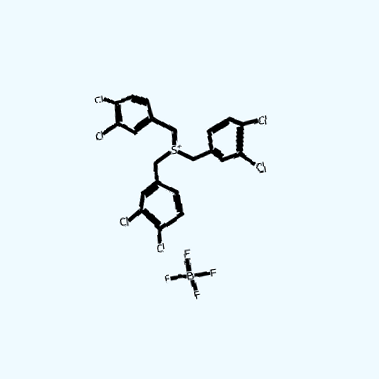 Clc1ccc(C[S+](Cc2ccc(Cl)c(Cl)c2)Cc2ccc(Cl)c(Cl)c2)cc1Cl.F[B-](F)(F)F